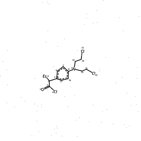 CCC(C(=O)Cl)c1ccc(N(CCCl)CCCl)cc1